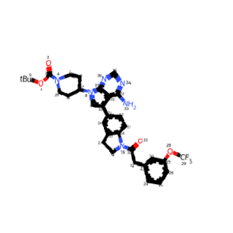 CC(C)(C)OC(=O)N1CCC(n2cc(-c3ccc4c(c3)CCN4C(=O)Cc3cccc(OC(F)(F)F)c3)c3c(N)ncnc32)CC1